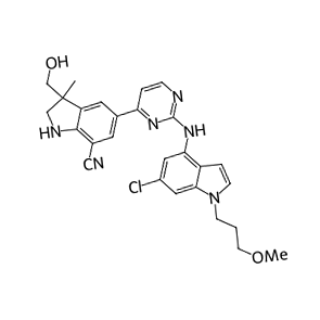 COCCCn1ccc2c(Nc3nccc(-c4cc(C#N)c5c(c4)C(C)(CO)CN5)n3)cc(Cl)cc21